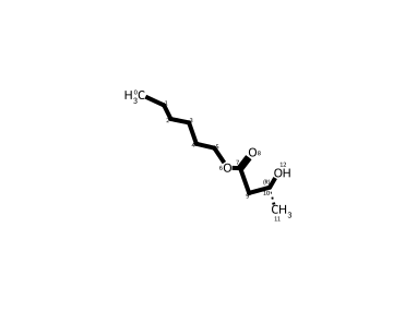 CCCCCCOC(=O)C[C@@H](C)O